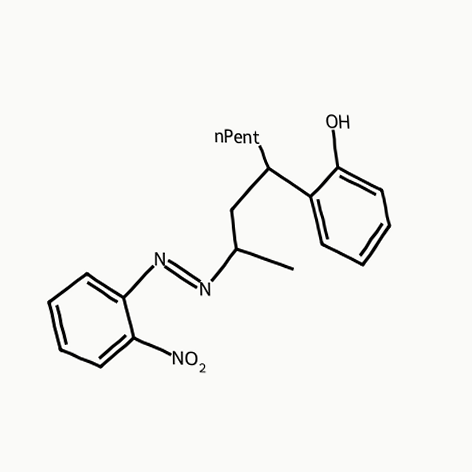 CCCCCC(CC(C)N=Nc1ccccc1[N+](=O)[O-])c1ccccc1O